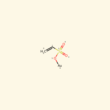 C=CS(=O)(=O)[O][Au]